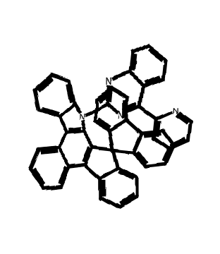 c1ccc(-c2nc(-n3c4ccccc4c4c5ccccc5c5c(c43)C3(c4ccccc4-c4ccccc43)c3ccccc3-5)nc3ccccc23)nc1